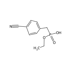 CCOP(=O)(O)Cc1ccc(C#N)cc1